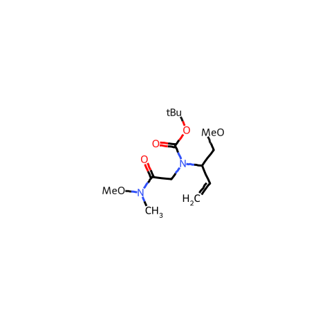 C=CC(COC)N(CC(=O)N(C)OC)C(=O)OC(C)(C)C